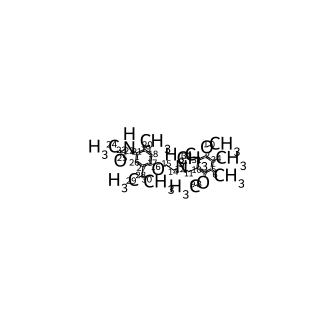 COc1c(C)c(C)c(OC)c(CN(C)CCOc2cc(C)c(NC(C)=O)cc2C(C)C)c1C